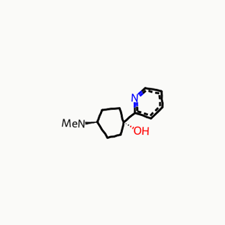 CN[C@H]1CC[C@@](O)(c2ccccn2)CC1